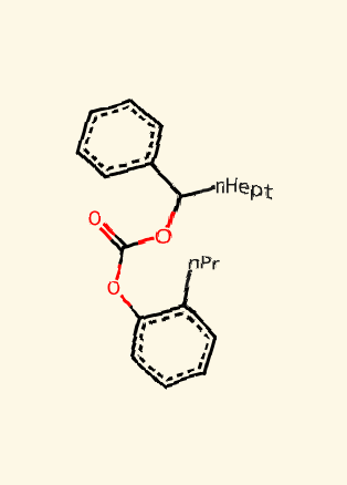 CCCCCCCC(OC(=O)Oc1ccccc1CCC)c1ccccc1